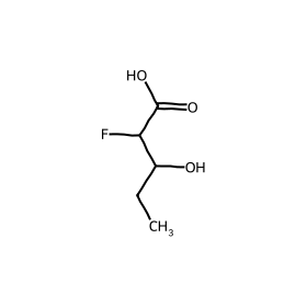 CCC(O)C(F)C(=O)O